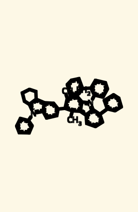 Bc1c(C)c(-c2ccc3c(c2)c2c(n3-c3ccccc3)CCCC2)c(C)c2c3cccc(-c4ccccc4)c3n(-c3ccccc3-c3ccccc3)c12